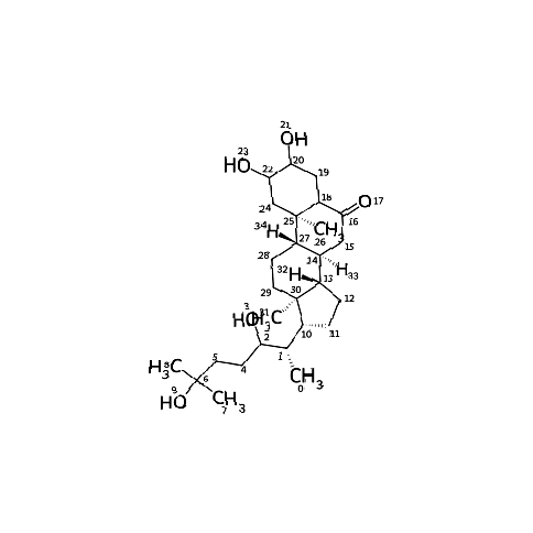 C[C@H](C(O)CCC(C)(C)O)[C@H]1CC[C@H]2[C@@H]3CC(=O)C4CC(O)C(O)C[C@]4(C)[C@H]3CC[C@]12C